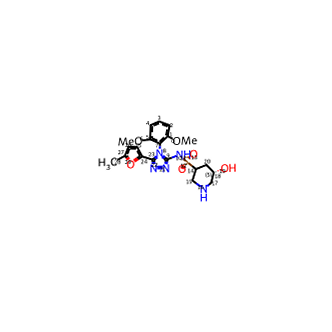 COc1cccc(OC)c1-n1c(NS(=O)(=O)C2CNC[C@@H](O)C2)nnc1-c1ccc(C)o1